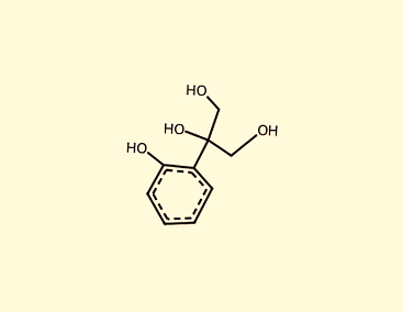 OCC(O)(CO)c1ccccc1O